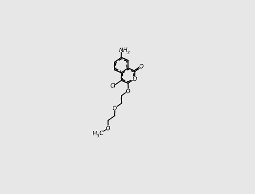 COCCOCCOc1oc(=O)c2cc(N)ccc2c1Cl